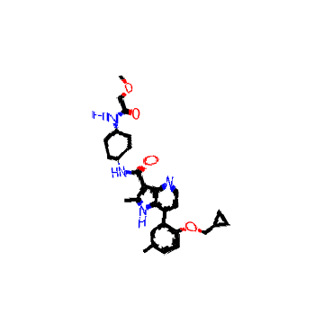 COCC(=O)N[C@H]1CC[C@H](NC(=O)c2c(C)[nH]c3c(-c4cc(C)ccc4OCC4CC4)ccnc23)CC1